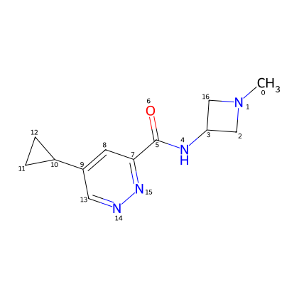 CN1CC(NC(=O)c2cc(C3CC3)cnn2)C1